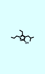 CCCn1nc(O)c(CC(C)C)c1CC